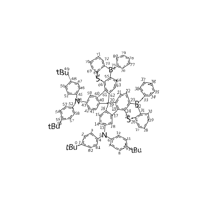 CC(C)(C)c1ccc(N(c2ccc(C(C)(C)C)cc2)c2ccc3c(c2)-c2c(ccc4c2Sc2ccccc2B4c2ccccc2)C32c3ccc(N(c4ccc(C(C)(C)C)cc4)c4ccc(C(C)(C)C)cc4)cc3-c3c2ccc2c3Sc3ccccc3B2c2ccccc2)cc1